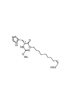 CCCCCCCC/C=C\CCCCCCCCOC(=O)[C@H](Cc1cnc[nH]1)NC(=O)OC(C)(C)C